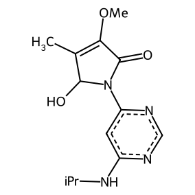 COC1=C(C)C(O)N(c2cc(NC(C)C)ncn2)C1=O